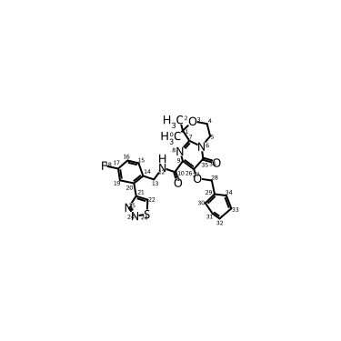 CC1(C)OCCn2c1nc(C(=O)NCc1ccc(F)cc1-c1csnn1)c(OCc1ccccc1)c2=O